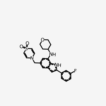 O=S1(=O)C=CN(Cc2cc(NC3CCOCC3)c3[nH]c(-c4cccc(F)c4)cc3c2)C=C1